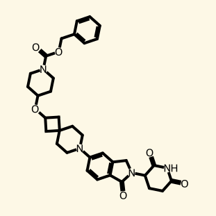 O=C1CCC(N2Cc3cc(N4CCC5(CC4)CC(OC4CCN(C(=O)OCc6ccccc6)CC4)C5)ccc3C2=O)C(=O)N1